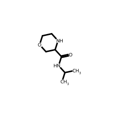 CC(C)NC(=O)C1COCCN1